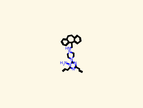 C=CCC1=NC(CC=C)N(N)C(N2CCN(NCC3c4ccccc4CCc4ccccc43)CC2)=N1